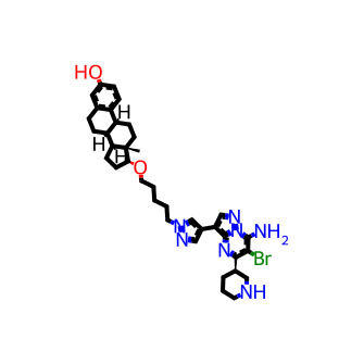 C[C@]12CC[C@@H]3c4ccc(O)cc4CC[C@H]3[C@@H]1CC[C@@H]2OCCCCCn1cc(-c2cnn3c(N)c(Br)c([C@@H]4CCCNC4)nc23)cn1